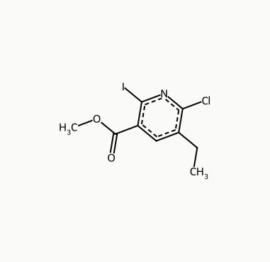 CCc1cc(C(=O)OC)c(I)nc1Cl